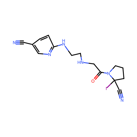 N#Cc1ccc(NCCNCC(=O)N2CCCC2(I)C#N)nc1